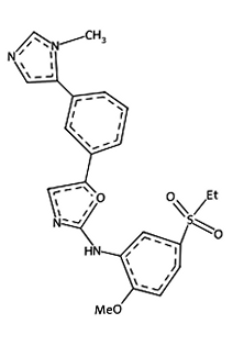 CCS(=O)(=O)c1ccc(OC)c(Nc2ncc(-c3cccc(-c4cncn4C)c3)o2)c1